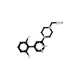 CCOC(=O)CN1CCN(c2cc(-c3c(F)cccc3F)cnn2)CC1